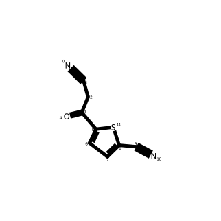 N#CCC(=O)c1ccc(C#N)s1